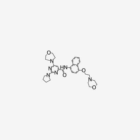 O=C(Nc1ccc(OCCN2CCOCC2)c2ccccc12)c1cc(N2CCOCC2)nc(N2CCCC2)n1